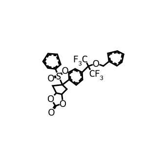 O=C1OC2CC(c3ccc(C(OCc4ccccc4)(C(F)(F)F)C(F)(F)F)cc3)(S(=O)(=O)c3ccccc3)CC2O1